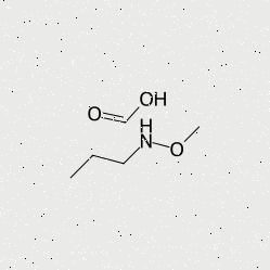 CCCNOC.O=CO